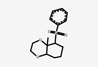 CC12OCCOC1CCCC2S(=O)(=O)c1ccccc1